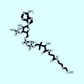 CC(C)(COP(=O)(O)OP(=O)(O)OCC1OC(n2cnc3c(N)ncnc32)C(O)C1OP(=O)(O)O)C(O)C(=O)NCCC(=O)NCCSCC=O